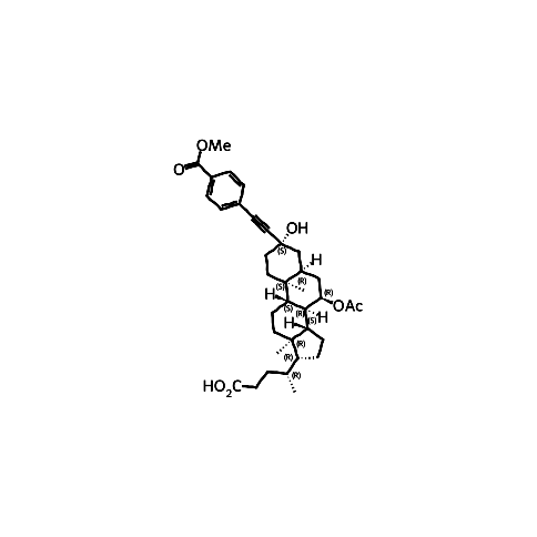 COC(=O)c1ccc(C#C[C@]2(O)CC[C@@]3(C)[C@H](C[C@@H](OC(C)=O)[C@@H]4[C@@H]3CC[C@]3(C)[C@@H]([C@H](C)CCC(=O)O)CC[C@@H]43)C2)cc1